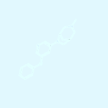 CN1CC2CC(C1)N(c1cncc(Oc3ccccc3)c1)C2